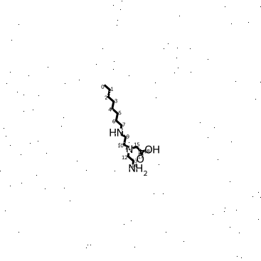 CCCCCCCCNCCN(CCN)CC(=O)O